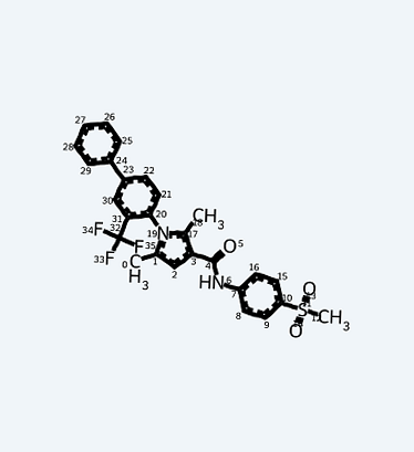 Cc1cc(C(=O)Nc2ccc(S(C)(=O)=O)cc2)c(C)n1-c1ccc(-c2ccccc2)cc1C(F)(F)F